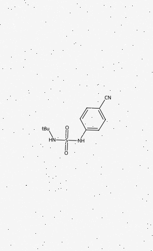 CC(C)(C)NS(=O)(=O)Nc1ccc(C#N)cc1